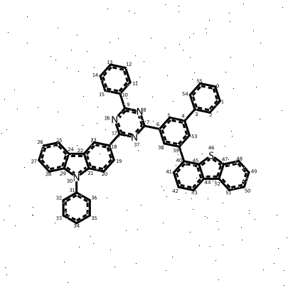 c1ccc(-c2cc(-c3nc(-c4ccccc4)nc(-c4ccc5c(c4)c4ccccc4n5-c4ccccc4)n3)cc(-c3cccc4c3sc3ccccc34)c2)cc1